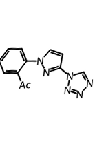 CC(=O)c1ccccc1-n1ccc(-n2cnnn2)n1